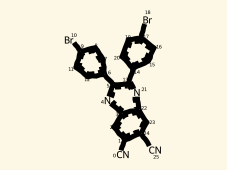 N#Cc1cc2nc(-c3ccc(Br)cc3)c(-c3ccc(Br)cc3)nc2cc1C#N